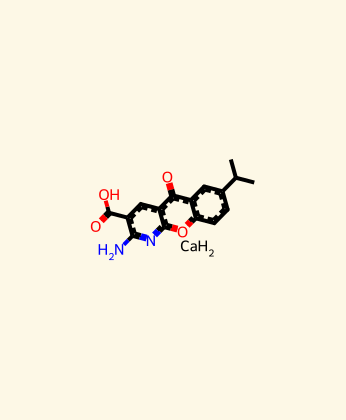 CC(C)c1ccc2oc3nc(N)c(C(=O)O)cc3c(=O)c2c1.[CaH2]